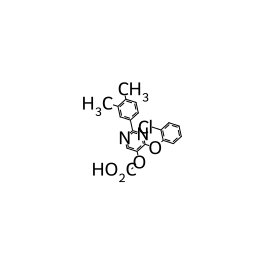 Cc1ccc(-c2ncc(OC(=O)O)c(Oc3ccccc3Cl)n2)cc1C